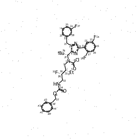 CC[C@@H](CN(C(=O)Cl)[C@@H](c1nc(-c2cc(F)ccc2F)nn1Cc1cccc(F)c1)C(C)(C)C)[C@@H](F)CNC(=O)OCc1ccccc1